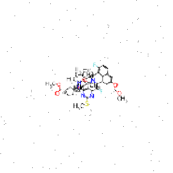 COCOc1cc(-c2nc(OC)c3c(N[C@@H]4CC[C@H](C(=O)OC)C4)nc(SC)nc3c2F)c2c(C#C[Si](C(C)C)(C(C)C)C(C)C)c(F)ccc2c1